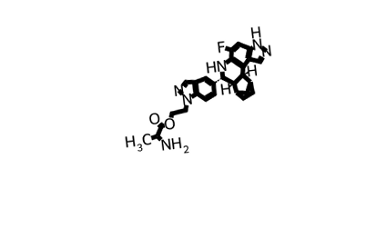 CC(N)C(=O)OCCn1ncc2cc([C@@H]3Nc4c(F)cc5[nH]ncc5c4[C@H]4C5CCC(C5)[C@@H]34)ccc21